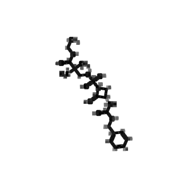 CCOC(=O)C(C)(C)COS(=O)(=O)N1C[C@H](NC(=O)OCc2ccccc2)C1=O